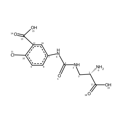 N[C@@H](CNC(=O)Nc1ccc(Cl)c(C(=O)O)c1)C(=O)O